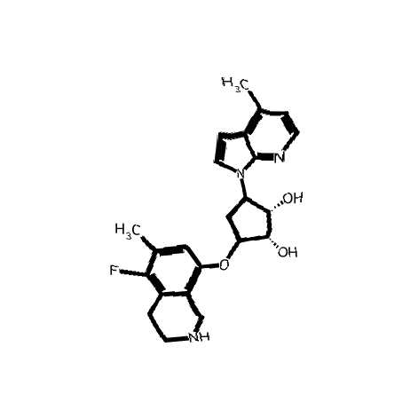 Cc1cc(OC2CC(n3ccc4c(C)ccnc43)[C@H](O)[C@@H]2O)c2c(c1F)CCNC2